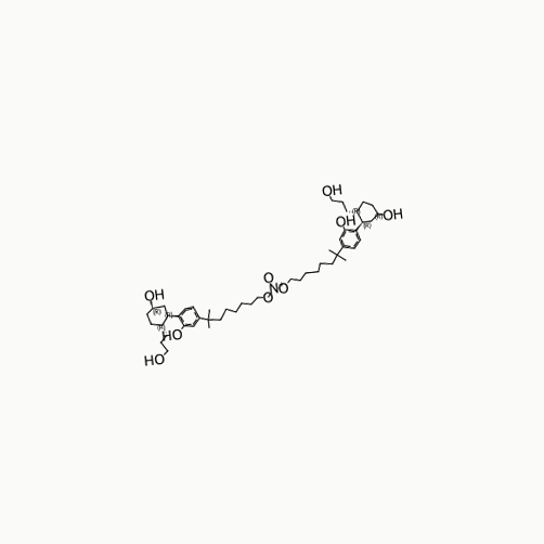 CC(C)(CCCCCCO[N+](=O)OCCCCCCC(C)(C)c1ccc([C@@H]2C[C@H](O)CC[C@H]2CCCO)c(O)c1)c1ccc([C@@H]2C[C@H](O)CC[C@H]2CCCO)c(O)c1